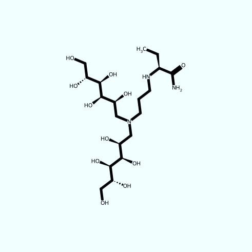 CC[C@H](NCCCN(C[C@H](O)[C@@H](O)[C@H](O)[C@H](O)CO)C[C@H](O)[C@@H](O)[C@H](O)[C@H](O)CO)C(N)=O